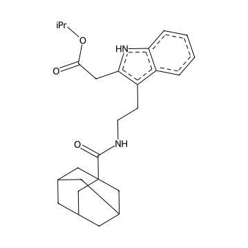 CC(C)OC(=O)Cc1[nH]c2ccccc2c1CCNC(=O)C12CC3CC(CC(C3)C1)C2